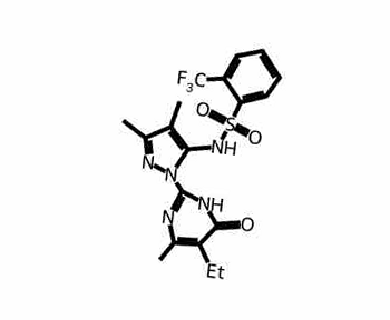 CCc1c(C)nc(-n2nc(C)c(C)c2NS(=O)(=O)c2ccccc2C(F)(F)F)[nH]c1=O